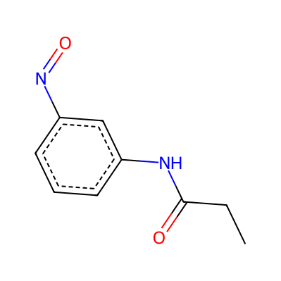 CCC(=O)Nc1cccc(N=O)c1